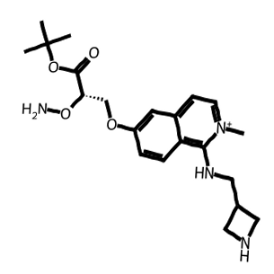 C[n+]1ccc2cc(OC[C@H](ON)C(=O)OC(C)(C)C)ccc2c1NCC1CNC1